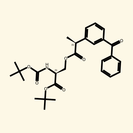 C[C@H](C(=O)OC[C@H](NC(=O)OC(C)(C)C)C(=O)OC(C)(C)C)c1cccc(C(=O)c2ccccc2)c1